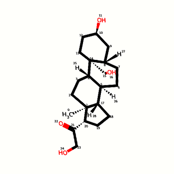 C[C@]12CC[C@H]3[C@@H](CC[C@H]4C[C@H](O)CC[C@@]43CO)[C@@H]1CC[C@@H]2C(=O)CO